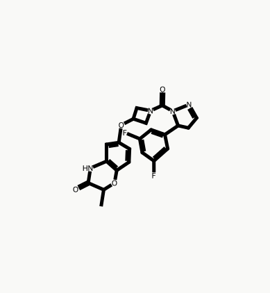 CC1Oc2ccc(OC3CN(C(=O)N4N=CCC4c4cc(F)cc(F)c4)C3)cc2NC1=O